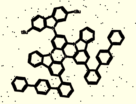 CC(C)(C)c1ccc2c3ccc(C(C)(C)C)cc3n(-c3cc4c5c(c3)-n3c6ccccc6c6cc(-c7ccccc7-c7ccc(-c8ccccc8)cc7)cc(c63)B5c3cc(-c5ccccc5-c5ccc(-c6ccccc6)cc5)cc5c6ccccc6n-4c35)c2c1